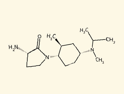 CC(C)N(C)[C@@H]1CC[C@H](N2CC[C@H](N)C2=O)[C@@H](C)C1